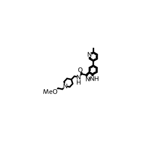 COCCN1CCC(CNC(=O)c2n[nH]c3ccc(-c4ccc(C)nc4)cc23)CC1